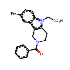 CC(C)c1ccc2c(c1)c1c(n2CC(=O)O)CCN(C(=O)c2ccccc2)C1